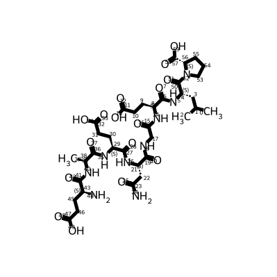 CC(C)C[C@H](NC(=O)[C@H](CCC(=O)O)NC(=O)CNC(=O)[C@H](CC(N)=O)NC(=O)[C@H](CCC(=O)O)NC(=O)[C@H](C)NC(=O)[C@@H](N)CCC(=O)O)C(=O)N1CCC[C@H]1C(=O)O